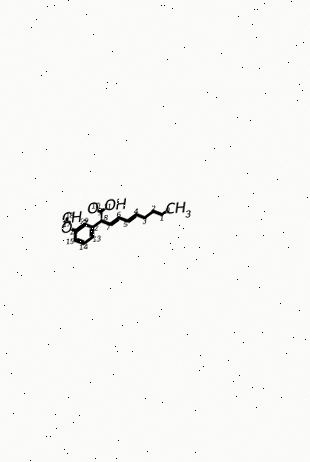 CCCC/C=C/C=C/[C@H](C(=O)O)c1cccc(OC)c1